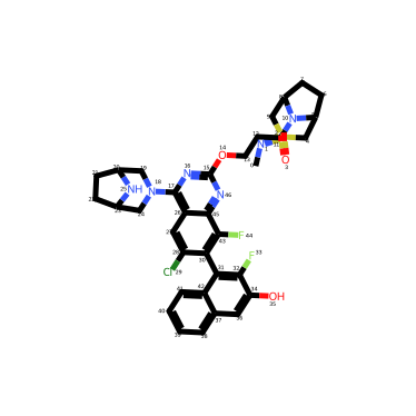 CN=S1(=O)CC2CCC(C1)N2CCCOc1nc(N2CC3CCC(C2)N3)c2cc(Cl)c(-c3c(F)c(O)cc4ccccc34)c(F)c2n1